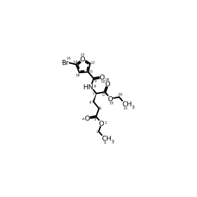 CCOC(=O)CC[C@@H](NC(=O)c1coc(Br)c1)C(=O)OCC